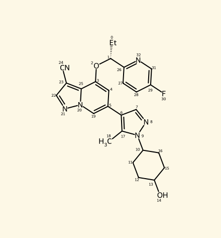 CC[C@@H](Oc1cc(-c2cnn(C3CCC(O)CC3)c2C)cn2ncc(C#N)c12)c1ccc(F)cn1